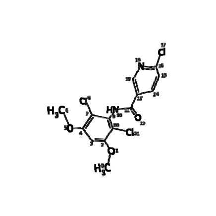 COc1cc(OC)c(Cl)c(NC(=O)c2ccc(Cl)nc2)c1Cl